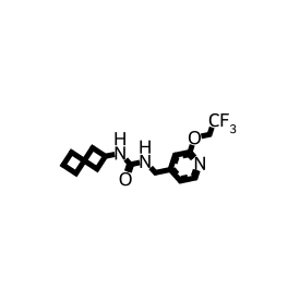 O=C(NCc1ccnc(OCC(F)(F)F)c1)NC1CC2(CCC2)C1